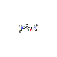 C[Si](C)(C)c1ccc(N(c2ccccc2)c2ccc(-c3cc4c5cccc6c5c(cc4c4ccccc34)-c3ccc(N(c4ccccc4)c4ccc5ccccc5c4)cc3O6)cc2)cc1